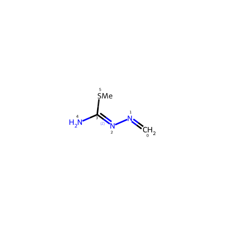 C=N/N=C(/N)SC